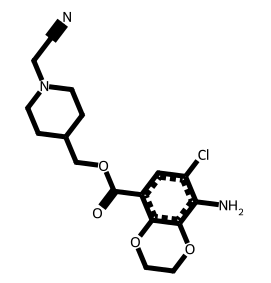 N#CCN1CCC(COC(=O)c2cc(Cl)c(N)c3c2OCCO3)CC1